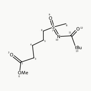 COC(=O)CCCCS(C)(=O)=NC(=O)C(C)(C)C